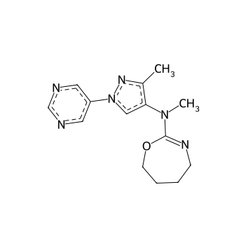 Cc1nn(-c2cncnc2)cc1N(C)C1=NCCCCO1